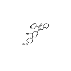 CC(=O)OC1CCN(c2ccc(N(Cc3ccccc3)[S+]([O-])c3ccccc3)cc2C#N)CC1